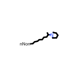 CCCCCCCCCCCCCCCCC(C)N1CCCCC1